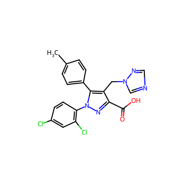 Cc1ccc(-c2c(Cn3cncn3)c(C(=O)O)nn2-c2ccc(Cl)cc2Cl)cc1